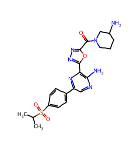 CC(C)S(=O)(=O)c1ccc(-c2cnc(N)c(-c3nnc(C(=O)N4CCCC(N)C4)o3)n2)cc1